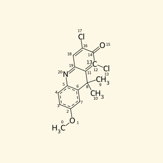 COc1ccc2c(c1)C(C)(C)C1=[13C](Cl)C(=O)C(Cl)=CC1=N2